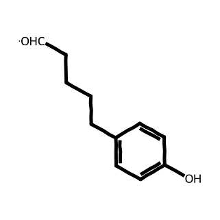 O=[C]CCCCc1ccc(O)cc1